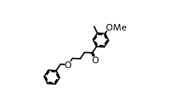 COc1ccc(C(=O)CCCOCc2ccccc2)cc1C